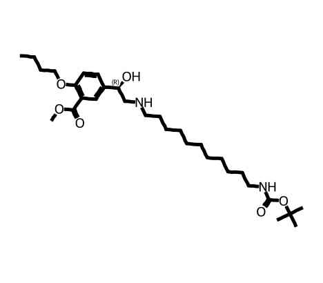 CCCCOc1ccc([C@@H](O)CNCCCCCCCCCCCNC(=O)OC(C)(C)C)cc1C(=O)OC